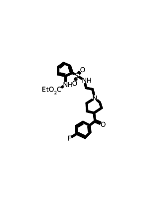 CCOC(=O)Nc1ccccc1S(=O)(=O)NCCN1CCC(C(=O)c2ccc(F)cc2)CC1